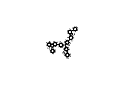 c1ccc(-c2cccc3c2oc2ccc(-c4ccc(N(c5ccc(-c6ccc7c8ccccc8n(-c8ccccc8)c7c6)cc5)c5ccc6c(c5)sc5ccccc56)cc4)cc23)cc1